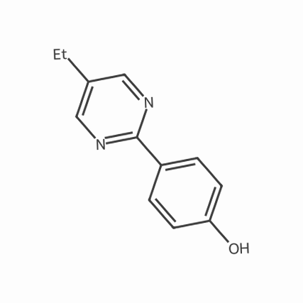 CCc1cnc(-c2ccc(O)cc2)nc1